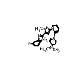 CN(C)C1CCN(C2=CC=CCN2c2cc(-c3nc4cc(F)ccc4[nH]3)n(C)n2)CC1